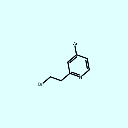 CC(=O)c1ccnc(CCBr)c1